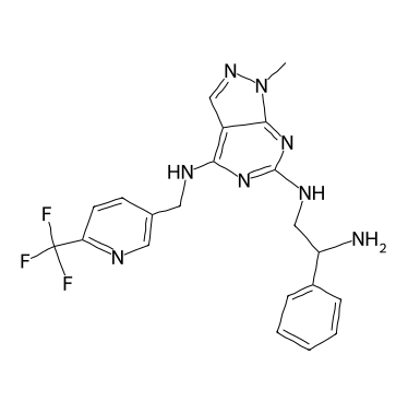 Cn1ncc2c(NCc3ccc(C(F)(F)F)nc3)nc(NCC(N)c3ccccc3)nc21